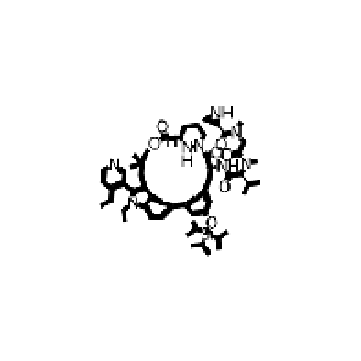 CCc1ccncc1-c1c2c3cc(ccc3n1CC)-c1cc(cc(O[Si](C(C)C)(C(C)C)C(C)C)c1)C[C@H](NC(=O)[C@H](C(C)C)N(C)C(=O)CN(C)C(=O)[C@H]1CN1)C(=O)N1CCC[C@H](N1)C(=O)OCC(C)(C)C2